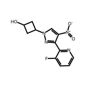 O=[N+]([O-])c1cn(C2CC(O)C2)nc1-c1ncccc1F